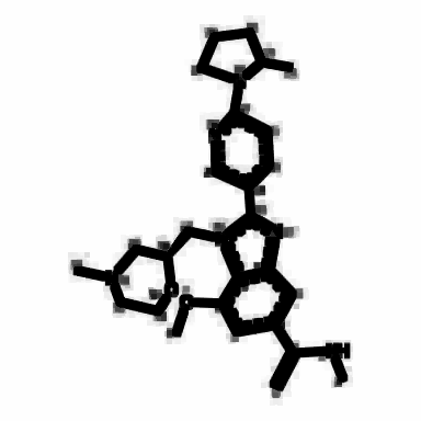 C=C(NC)c1cc(OC)c2c(c1)nc(-c1ccc(N3CCCC3C)nc1)n2C[C@@H]1CN(C)CCO1